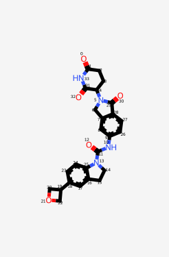 O=C1CCC(N2Cc3cc(NC(=O)N4CCc5cc(C6COC6)ccc54)ccc3C2=O)C(=O)N1